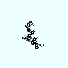 CC(NCc1ccc(Cl)cc1Oc1ccc(-c2cnc(CN(C)C)n2C)cc1)C(=O)N1[C@H](C(=O)N[C@@]2(Cc3ccc(Cl)cc3)CCCN(C(=O)C(CC(=O)O)Cc3cccnc3)C2)COC1(C)C.Cl